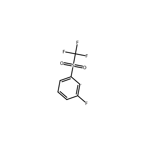 O=S(=O)(c1[c]c(F)ccc1)C(F)(F)F